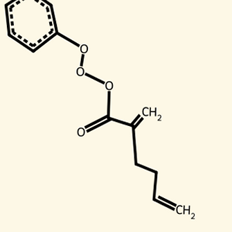 C=CCCC(=C)C(=O)OOOc1ccccc1